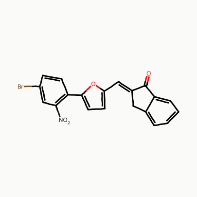 O=C1C(=Cc2ccc(-c3ccc(Br)cc3[N+](=O)[O-])o2)Cc2ccccc21